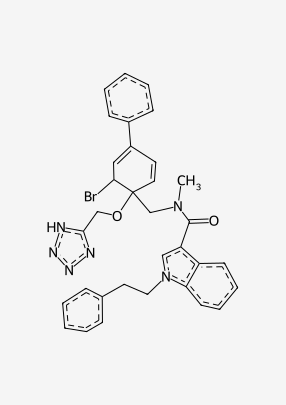 CN(CC1(OCc2nnn[nH]2)C=CC(c2ccccc2)=CC1Br)C(=O)c1cn(CCc2ccccc2)c2ccccc12